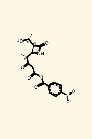 C[C@@H](C(=O)CC(=O)OC(=O)c1ccc([N+](=O)[O-])cc1)C1NC(=O)[C@@H]1[C@@H](C)O